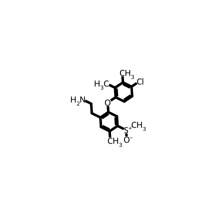 Cc1cc(CCN)c(Oc2ccc(Cl)c(C)c2C)cc1[S+](C)[O-]